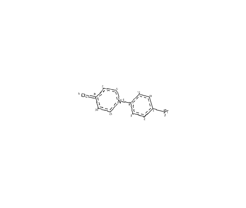 CC(C)c1ccc(-n2ccc(=O)cc2)cc1